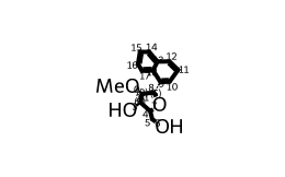 CO[C@@H]1[C@H](O)C(CO)O[C@H]1c1cccc2ccccc12